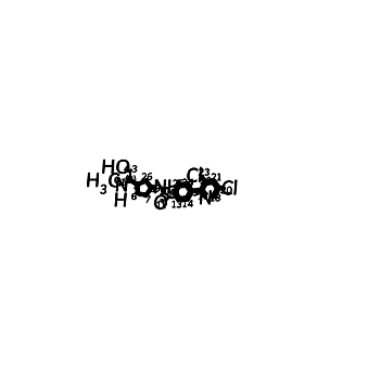 CN[C@@H](CO)C1CCC(N[S+]([O-])c2ccc(-c3ncc(Cl)cc3Cl)cc2)C1